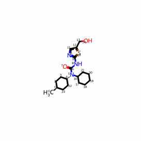 C[C@H]1CC[C@H](N(C(=O)Nc2ncc(CO)s2)C2CCCCC2)CC1